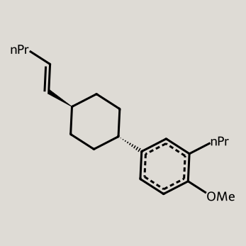 CCCC=C[C@H]1CC[C@H](c2ccc(OC)c(CCC)c2)CC1